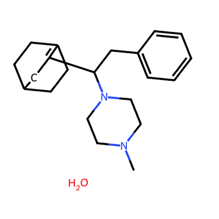 CN1CCN(C(Cc2ccccc2)C2=C3CCC(CC3)C2)CC1.O